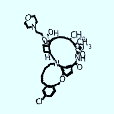 C[C@@H]1[C@@H](C)CCC[C@](CO)(OCCN2CCOCC2)[C@@H]2CC[C@H]2CN2CCCCc3cc(Cl)ccc3COc3ccc(cc32)C(=O)NS1(=O)=O